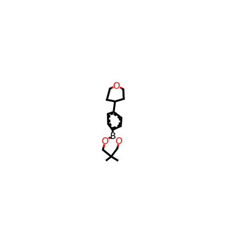 CC1(C)COB(c2ccc(C3CCOCC3)cc2)OC1